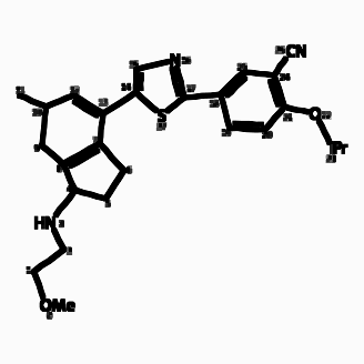 COCCNC1CCC2=C1CC(C)C=C2c1cnc(-c2ccc(OC(C)C)c(C#N)c2)s1